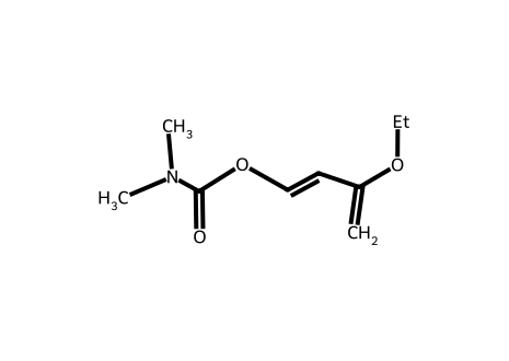 C=C(C=COC(=O)N(C)C)OCC